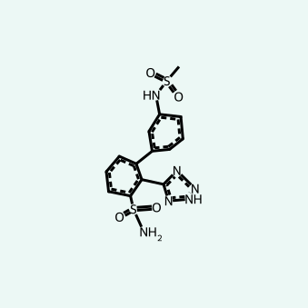 CS(=O)(=O)Nc1cccc(-c2cccc(S(N)(=O)=O)c2-c2nn[nH]n2)c1